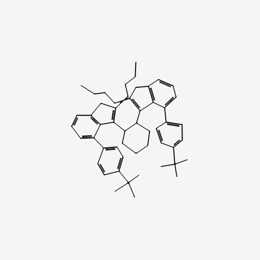 CCCCC1=C(C2CCCCC2C2=C(CCCC)[CH]c3cccc(-c4ccc(C(C)(C)C)cc4)c32)c2c(cccc2-c2ccc(C(C)(C)C)cc2)[CH]1